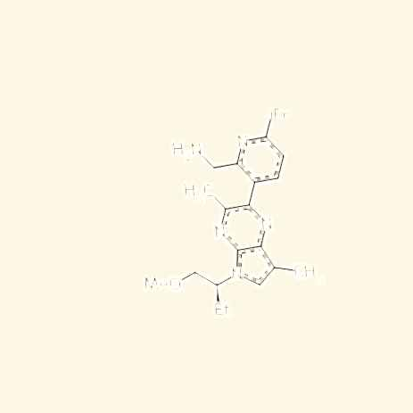 CC[C@@H](COC)n1cc(C)c2nc(-c3ccc(C(C)C)nc3CN)c(C)nc21